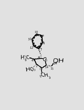 CC1[C@H](O)C(C)[C@H](c2ccccc2)O[C@@H]1CO